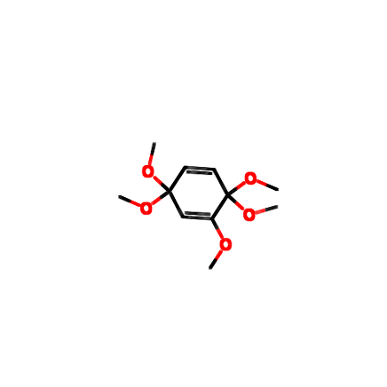 COC1=CC(OC)(OC)C=CC1(OC)OC